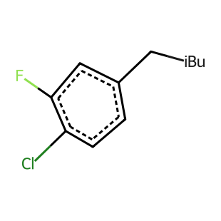 CCC(C)Cc1ccc(Cl)c(F)c1